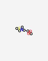 c1ccc2c(c1)Oc1ccc(-c3ccc4c(c3)c3ccccc3n4-c3cccc4c3sc3ccccc34)cc1O2